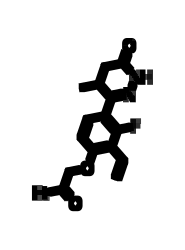 C=Cc1c(OCC(=O)CC)ccc(C2=NNC(=O)CC2C)c1F